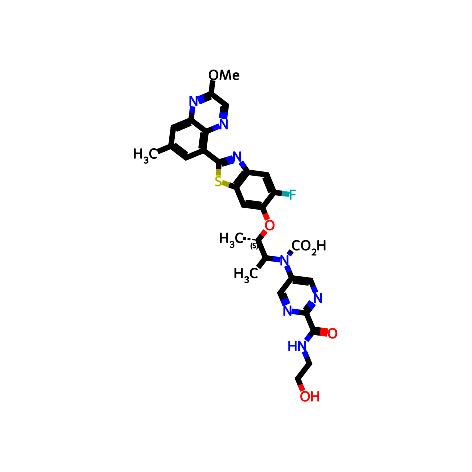 COc1cnc2c(-c3nc4cc(F)c(O[C@@H](C)C(C)N(C(=O)O)c5cnc(C(=O)NCCO)nc5)cc4s3)cc(C)cc2n1